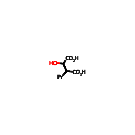 CC(C)C(C(=O)O)C(O)C(=O)O